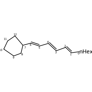 CCCCCCC=CC=CC=CC1CCCCC1